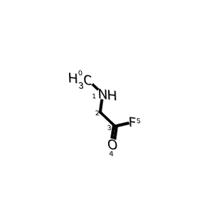 CNCC(=O)F